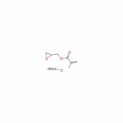 C=C(C)C(=O)OCC1CO1.CCCCCCl